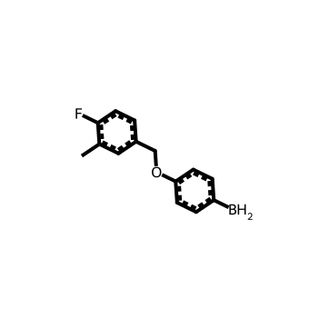 Bc1ccc(OCc2ccc(F)c(C)c2)cc1